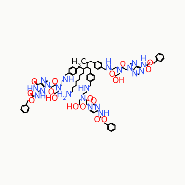 CC(Cc1ccc(CNCCN(CC(=O)O)C(=O)Cn2cnc3c(NC(=O)OCc4ccccc4)ncnc32)cc1)C(Cc1ccc(CNCCN(CC(=O)O)C(=O)Cn2ccc(NC(=O)OCc3ccccc3)nc2=O)cc1)C(CCCCCCCN)Cc1ccc(CNCCN(CC(=O)O)C(=O)Cn2cnc3c(=O)[nH]c(NC(=O)OCc4ccccc4)nc32)cc1